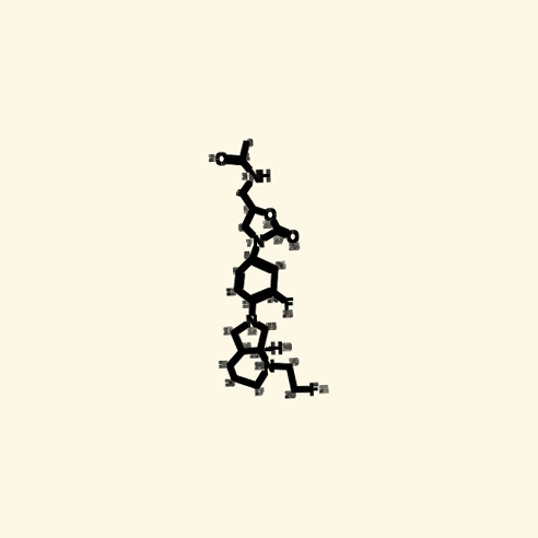 CC(=O)NCC1CN(c2ccc(N3CC4CCCN(CCF)[C@@H]4C3)c(F)c2)C(=O)O1